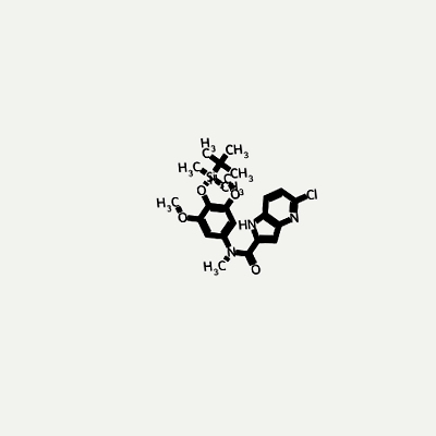 COc1cc(N(C)C(=O)c2cc3nc(Cl)ccc3[nH]2)cc(OC)c1O[Si](C)(C)C(C)(C)C